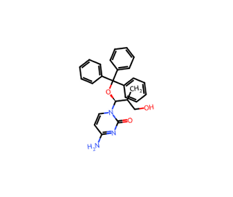 [CH2]C(CO)[C@H](OC(c1ccccc1)(c1ccccc1)c1ccccc1)n1ccc(N)nc1=O